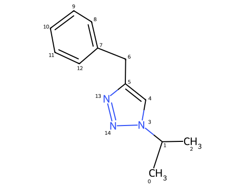 CC(C)n1cc(Cc2ccccc2)nn1